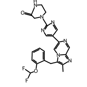 Cc1nc2cnc(-c3cnc(N4CCNC(=O)C4)nc3)cn2c1Cc1ccccc1OC(F)F